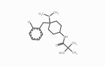 CC(=O)OC(C)(C)C(=O)NC1CCC(Cc2ccccc2Cl)(N(C)C)CC1